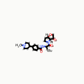 CN1CCC(c2ccc(C(=O)NC(C(=O)N3CC[C@H]4OCC(=O)[C@H]43)C(C)(C)C)cc2)CC1